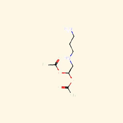 CC(=O)OC(CNCCCN)OC(C)=O